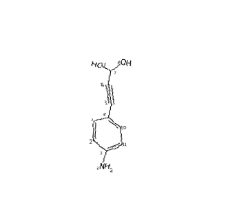 Nc1ccc(C#CC(O)O)cc1